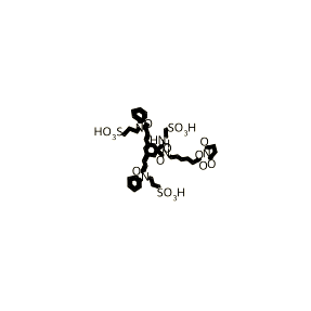 O=C(CCCCCNC(=O)C1(C(=O)NCCS(=O)(=O)O)CC(/C=C/c2oc3ccccc3[n+]2CCCS(=O)(=O)O)=CC(=C/C=C2\Oc3ccccc3N2CCCS(=O)(=O)O)/C1)ON1C(=O)CCC1=O